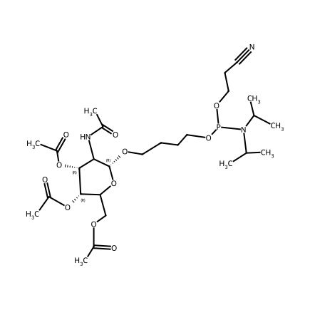 CC(=O)NC1[C@H](OCCCCOP(OCCC#N)N(C(C)C)C(C)C)OC(COC(C)=O)[C@H](OC(C)=O)[C@@H]1OC(C)=O